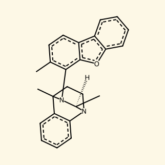 Cc1ccc2c(oc3ccccc32)c1N1[C@@H](C)N2CCC1(C)c1ccccc12